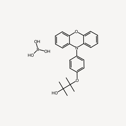 CC(C)(O)C(C)(C)Oc1ccc(N2c3ccccc3Oc3ccccc32)cc1.OB(O)O